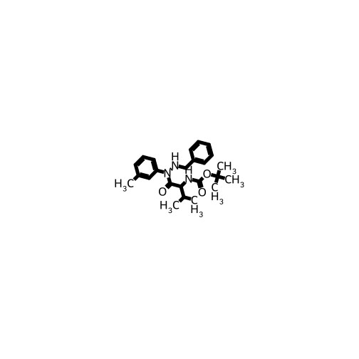 Cc1cccc(N(NCc2ccccc2)C(=O)C(NC(=O)OC(C)(C)C)C(C)C)c1